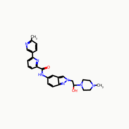 Cc1ccc(-c2cccc(C(=O)Nc3ccc4nn(CC(O)N5CCN(C)CC5)cc4c3)n2)cn1